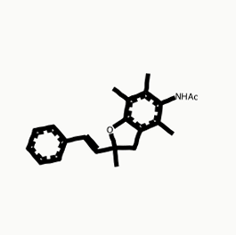 CC(=O)Nc1c(C)c(C)c2c(c1C)CC(C)(C=Cc1ccccc1)O2